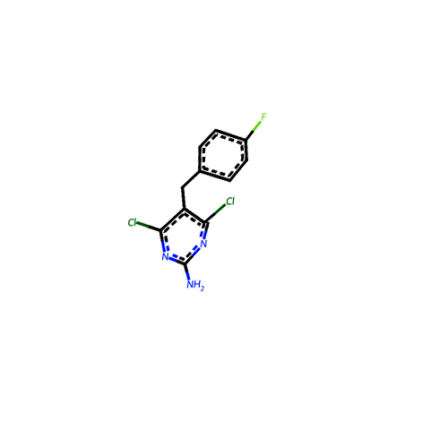 Nc1nc(Cl)c(Cc2ccc(F)cc2)c(Cl)n1